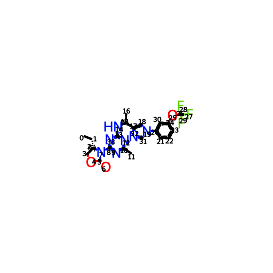 CC[C@H]1COC(=O)N1c1nc(C)nc(N[C@@H](C)c2cn(-c3cccc(OC(F)(F)F)c3)cn2)n1